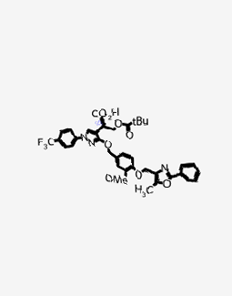 COc1cc(COc2nn(-c3ccc(C(F)(F)F)cc3)cc2/C(=C/C(=O)O)COC(=O)C(C)(C)C)ccc1OCc1nc(-c2ccccc2)oc1C